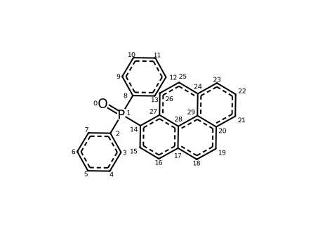 O=P(c1ccccc1)(c1ccccc1)c1ccc2ccc3cccc4ccc1c2c34